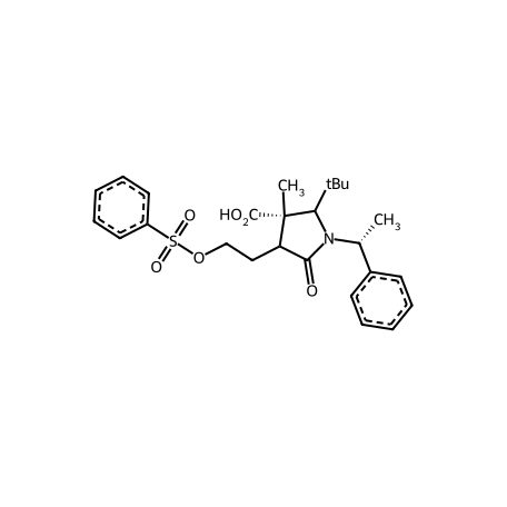 C[C@H](c1ccccc1)N1C(=O)C(CCOS(=O)(=O)c2ccccc2)[C@](C)(C(=O)O)C1C(C)(C)C